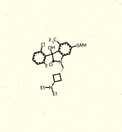 CCN(CC)[C@H]1C[C@H](CN2C(=O)C(O)(c3c(F)cccc3Cl)c3c2cc(SC)cc3C(F)(F)F)C1